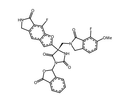 COc1ccc2c(c1F)C(=O)N(C[C@@]1(c3cc4cc5c(c(F)c4o3)C(=O)NC5)NC(=O)N(C3OC(=O)c4ccccc43)C1=O)C2